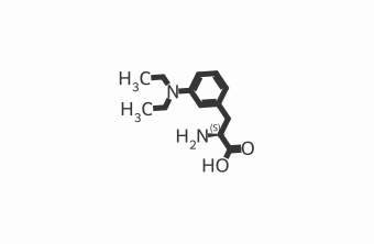 CCN(CC)c1cccc(C[C@H](N)C(=O)O)c1